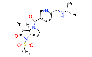 CC(C)C(NCc1ccc(C(=O)N2CC=C3[C@H]2[C@@H](C(C)C)C(=O)N3S(C)(=O)=O)cn1)C(C)C